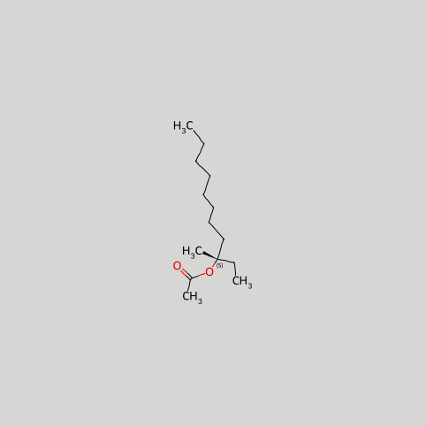 CCCCCCCC[C@](C)(CC)OC(C)=O